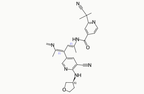 C=N/C(C)=C(\C=C(/C)NC(=O)c1ccnc(C(C)(C)C#N)c1)c1cnc(N[C@H]2CCOC2)c(C#N)c1